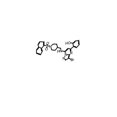 O=S(=O)(c1cccc2ccccc12)N1CCC(CNc2cc(-c3ccccc3O)nc3c(Br)cnn23)CC1